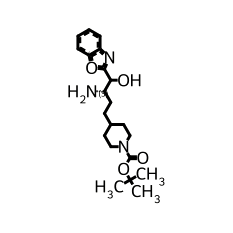 CC(C)(C)OC(=O)N1CCC(CC[C@H](N)C(O)c2nc3ccccc3o2)CC1